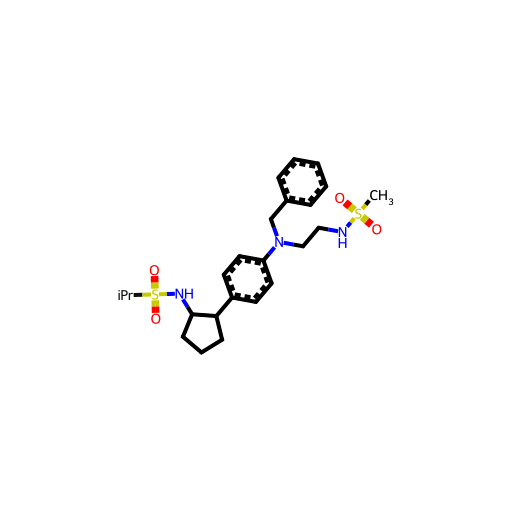 CC(C)S(=O)(=O)NC1CCCC1c1ccc(N(CCNS(C)(=O)=O)Cc2ccccc2)cc1